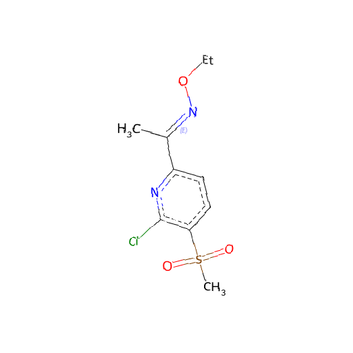 CCO/N=C(\C)c1ccc(S(C)(=O)=O)c(Cl)n1